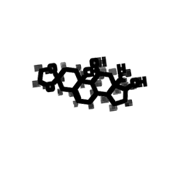 CC12CCC3(CC1=CCC1C2C(O)CC2(C)C(O)CCC12)OCCO3